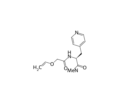 C=COCC(=O)N[C@@H](Cc1ccncc1)C(=O)NC